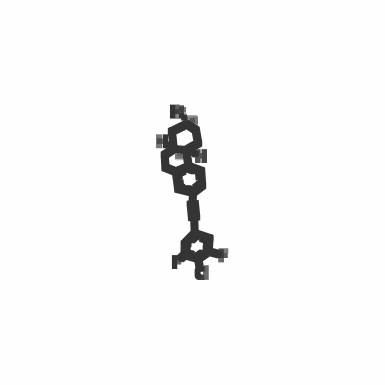 CC[C@@H]1CC[C@@H]2c3ccc(C#Cc4cc(F)c(Cl)c(F)c4)cc3CC[C@@H]2C1